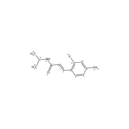 Cc1ccc(/C=C/C(=O)NC(C)C)c(F)c1